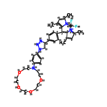 CC1=CC(C)=[N+]2C1=C(c1ccc(-c3cn(-c4ccc(N5CCOCCOCCOCCOCC5)cc4)nn3)cc1)c1c(C)cc(C)n1[B-]2(F)F